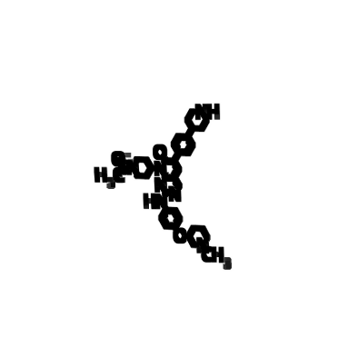 CN1CCCC(Oc2ccc(Nc3ncc4cc(-c5ccc(C6CCNCC6)cc5)c(=O)n(C5CCN([S+](C)[O-])CC5)c4n3)cc2)C1